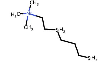 C[N+](C)(C)CC[SiH2]CCC[SiH3]